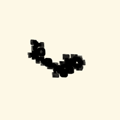 CC(C)CC(=O)N(C)CCCOCCN(C)C(=O)CC(=O)N(C)c1ccccc1